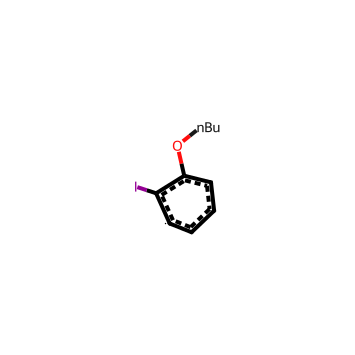 CCCCOc1ccc[c]c1I